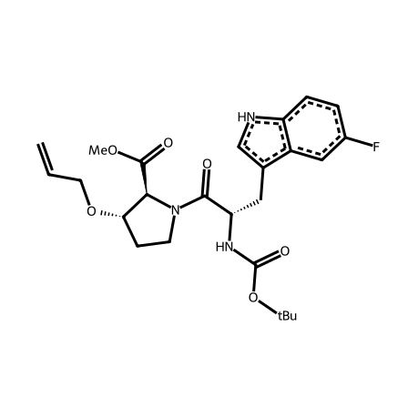 C=CCO[C@H]1CCN(C(=O)[C@H](Cc2c[nH]c3ccc(F)cc23)NC(=O)OC(C)(C)C)[C@@H]1C(=O)OC